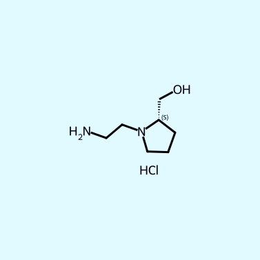 Cl.NCCN1CCC[C@H]1CO